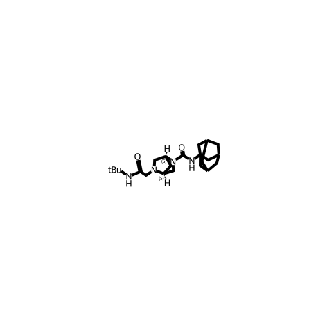 CC(C)(C)NC(=O)CN1C[C@@H]2C[C@H]1CN2C(=O)NC12CC3CC(CC(C3)C1)C2